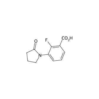 O=C(O)c1cccc(N2CCCC2=O)c1F